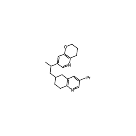 CC(C)c1cnc2c(c1)CC(CC(C)c1cnc3c(c1)OCCC3)CC2